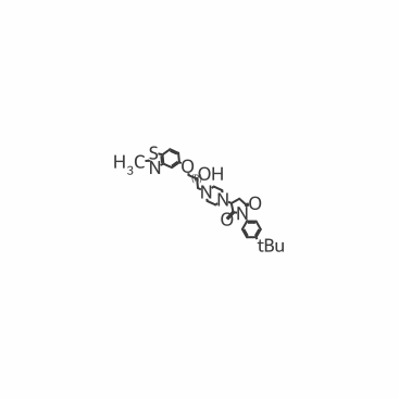 Cc1nc2cc(OC[C@H](O)CN3CCN(C4CC(=O)N(c5ccc(C(C)(C)C)cc5)C4=O)CC3)ccc2s1